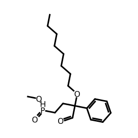 CCCCCCCCOC(C=O)(CC[PH](=O)OC)c1ccccc1